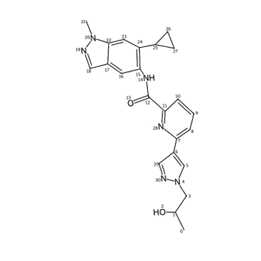 CC(O)Cn1cc(-c2cccc(C(=O)Nc3cc4cnn(C)c4cc3C3CC3)n2)cn1